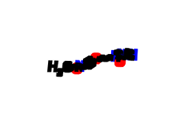 CCCON=Cc1ccc(OCCCCCN2CCN(c3ccncc3)C2=O)cc1